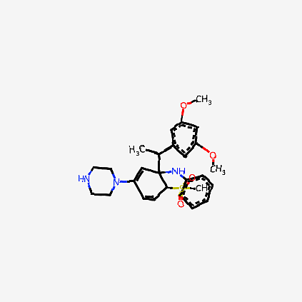 COc1cc(OC)cc(C(C)C2(Nc3ccccc3)C=C(N3CCNCC3)C=CC2S(C)(=O)=O)c1